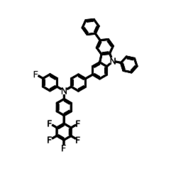 Fc1ccc(N(c2ccc(-c3ccc4c(c3)c3cc(-c5ccccc5)ccc3n4-c3ccccc3)cc2)c2ccc(-c3c(F)c(F)c(F)c(F)c3F)cc2)cc1